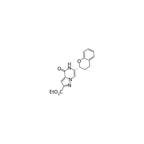 CCOC(=O)c1cc2c(=O)[nH]c([C@H]3CCc4ccccc4O3)cn2n1